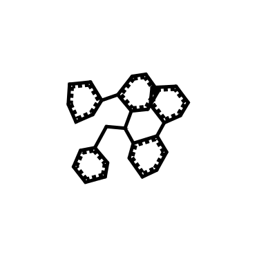 c1ccc(C[C](c2ccccc2-c2ccccc2)c2ccccc2-c2ccccc2)cc1